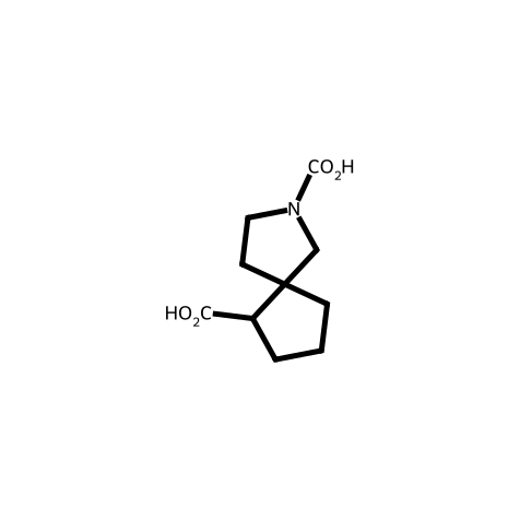 O=C(O)C1CCCC12CCN(C(=O)O)C2